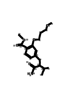 COCCCOc1cc(CC(C(N)=O)C(C)C)ccc1C(=O)OC